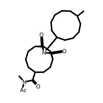 CC(=O)N(C)C(=O)C1CCCC2CCC(CC1)C(=O)N(C1CCCCCC(C)CCCC1)C2=O